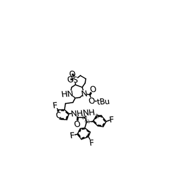 CC(C)(C)OC(=O)N1CC(CCc2c(F)cccc2NC(=O)[C@@H](N)[C@@H](c2ccc(F)cc2)c2cc(F)cc(F)c2)NCC2C1CCCS2(=O)=O